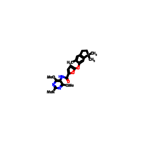 CNc1nc(OC)c(NC(=O)c2ccc(Oc3cc4c(cc3C)CC[Si]4(C)C)o2)c(OC)n1